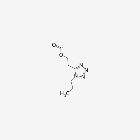 CCCn1nnnc1CCO[C]=O